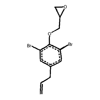 C=CCc1cc(Br)c(OCC2CO2)c(Br)c1